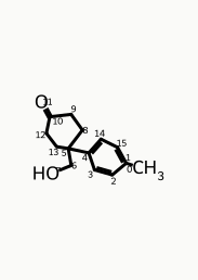 Cc1ccc(C2(CO)CCC(=O)CC2)cc1